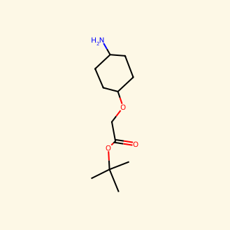 CC(C)(C)OC(=O)COC1CCC(N)CC1